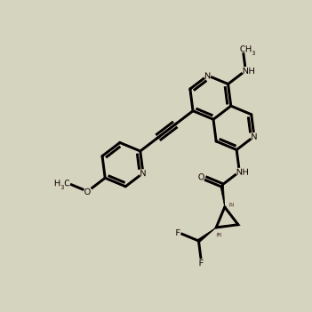 CNc1ncc(C#Cc2ccc(OC)cn2)c2cc(NC(=O)[C@H]3C[C@H]3C(F)F)ncc12